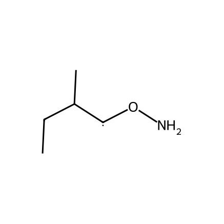 CCC(C)[CH]ON